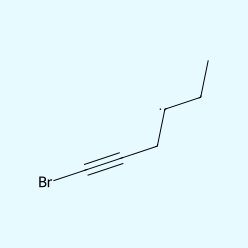 CC[CH]CC#CBr